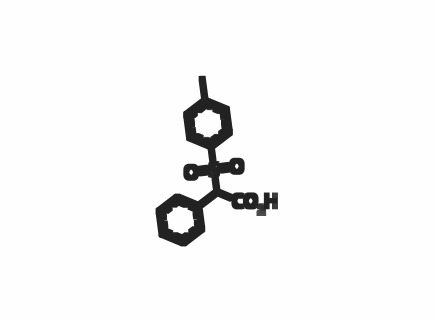 Cc1ccc(S(=O)(=O)C(C(=O)O)c2ccccc2)cc1